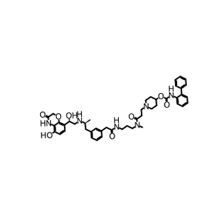 C[C@@H](Cc1cccc(CC(=O)NCCCN(C)C(=O)CCN2CCC(OC(=O)Nc3ccccc3-c3ccccc3)CC2)c1)NC[C@H](O)c1ccc(O)c2c1OCC(=O)N2